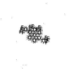 Fc1ccc(-c2ccc(-c3c(-c4ccccc4)c(-c4ccccc4)c(-c4ccc(-c5ccc(F)c(C(F)(F)F)c5)cc4)c(-c4cccc(C(F)(F)F)c4)c3-c3cccc(C(F)(F)F)c3)cc2)cc1C(F)(F)F